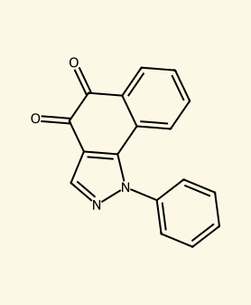 O=C1C(=O)c2cnn(-c3ccccc3)c2-c2ccccc21